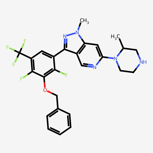 CC1CNCCN1c1cc2c(cn1)c(-c1cc(C(F)(F)F)c(F)c(OCc3ccccc3)c1F)nn2C